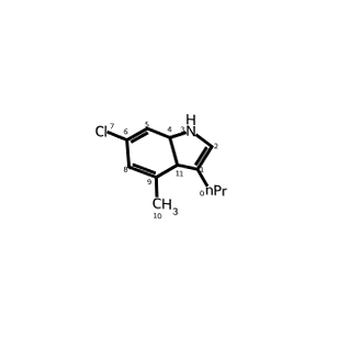 CCCC1=CNC2C=C(Cl)C=C(C)C12